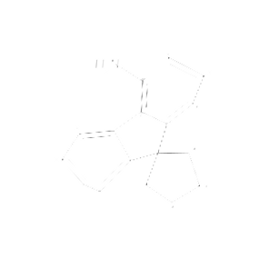 Nc1cccc2c1-c1ccccc1C21CCCC1